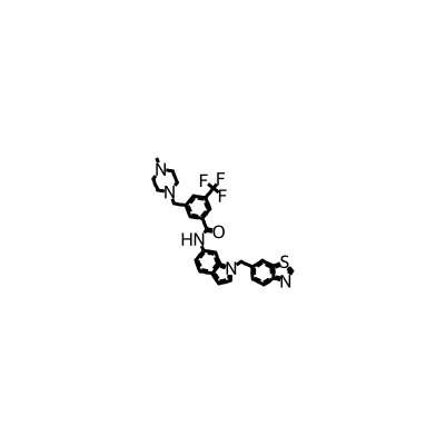 CN1CCN(Cc2cc(C(=O)Nc3ccc4ccn(Cc5ccc6ncsc6c5)c4c3)cc(C(F)(F)F)c2)CC1